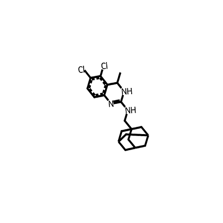 CC1NC(NCC23CC4CC(CC(C4)C2)C3)=Nc2ccc(Cl)c(Cl)c21